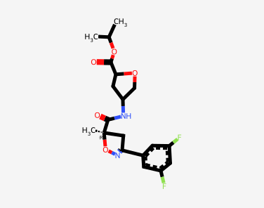 CC(C)OC(=O)C1CC(NC(=O)[C@@]2(C)CC(c3cc(F)cc(F)c3)=NO2)CO1